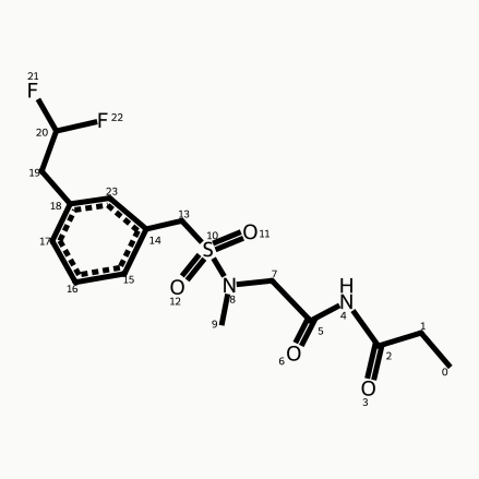 CCC(=O)NC(=O)CN(C)S(=O)(=O)Cc1cccc(CC(F)F)c1